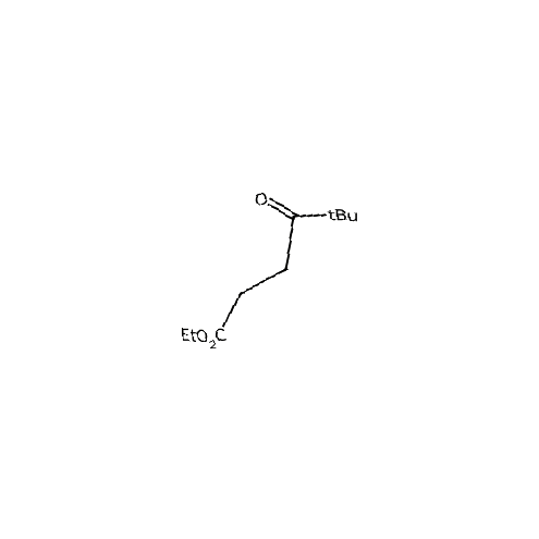 CCOC(=O)CCC(=O)C(C)(C)C